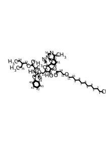 CCCCCCCCCCCCOCCC(=O)O[C@@H]1[C@H](O)[C@@H](COP(=O)(N[C@H](C)C(=O)OCC(CC)CC)Oc2ccccc2)O[C@@]1(C#N)c1ccc2c(C)ncnn12